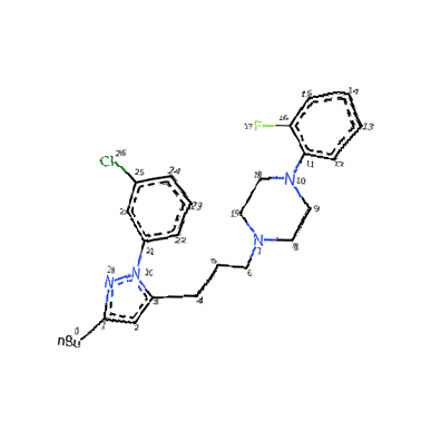 CCCCc1cc(CCCN2CCN(c3ccccc3F)CC2)n(-c2cccc(Cl)c2)n1